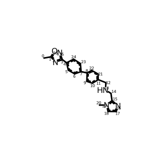 Cc1nc(-c2ccc(-c3ccc(CNCc4nccn4C)cc3)cc2)no1